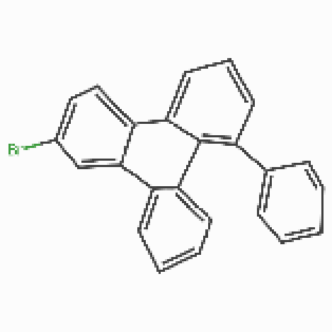 Brc1ccc2c(c1)c1ccccc1c1c(-c3ccccc3)cccc21